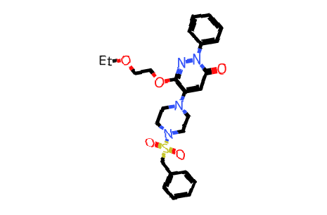 CCOCCOc1nn(-c2ccccc2)c(=O)cc1N1CCN(S(=O)(=O)Cc2ccccc2)CC1